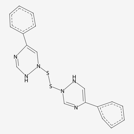 C1=NC(c2ccccc2)=CN(SSN2C=NC(c3ccccc3)=CN2)N1